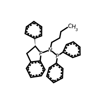 CCCCN(P(c1ccccc1)c1ccccc1)P1c2ccccc2C[C@@H]1c1ccccc1